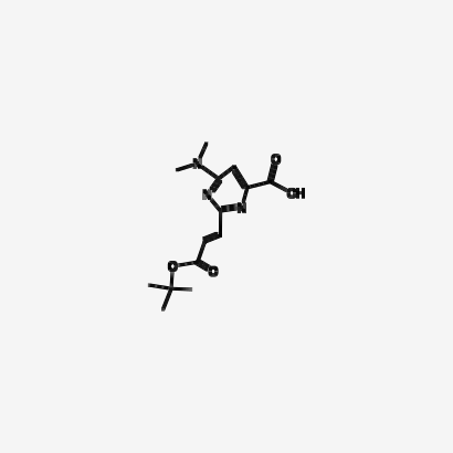 CN(C)c1cc(C(=O)O)nc(/C=C/C(=O)OC(C)(C)C)n1